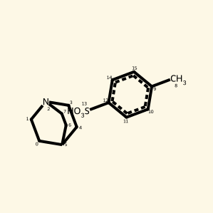 C1CN2CCC1CC2.Cc1ccc(S(=O)(=O)O)cc1